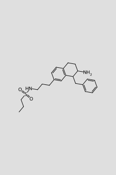 CCCS(=O)(=O)NCCCc1ccc2c(c1)C(Cc1ccccc1)C(N)CC2